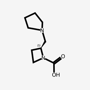 O=C(O)N1CC[C@H]1CN1CCCC1